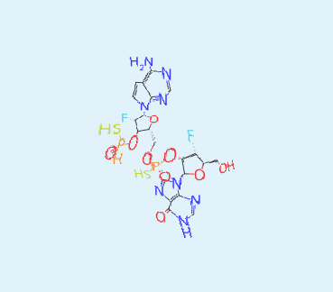 Nc1ncnc2c1ccn2[C@@H]1O[C@H](COP(=O)(S)O[C@@H]2[C@H](F)[C@@H](CO)O[C@H]2n2cnc3c(=O)[nH]cnc32)[C@@H](O[PH](=O)S)[C@@H]1F